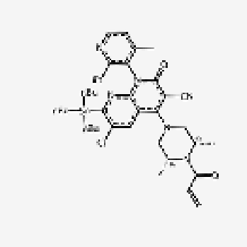 C=CC(=O)N1[C@H](C)CN(c2c(C#N)c(=O)n(-c3c(C)ccnc3C(C)C)c3n[c]([Sn]([CH2]CCC)([CH2]CCC)[CH2]CCC)c(Cl)cc23)C[C@@H]1C